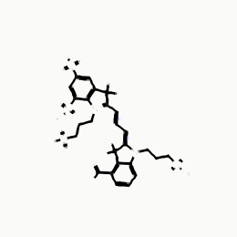 CC1(C)C(/C=C/C=C2/N(CCCS(=O)(=O)O)c3cccc(C(=O)O)c3C2(C)C)=[N+](CCCS(=O)(=O)O)c2c1cc(S(=O)(=O)O)cc2S(=O)(=O)O